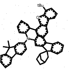 CC(C)(C)c1cccc2c1oc1c(-c3ccccc3N(c3ccc4c(c3)C(C)(C)c3ccccc3-4)c3ccc4c(c3)C3(CC5CCC3C5)c3ccccc3-4)cccc12